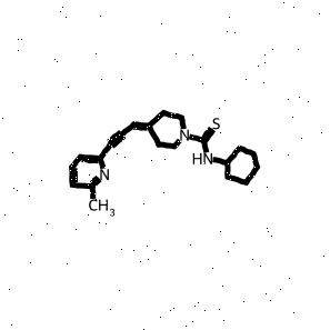 Cc1cccc(C#CC=C2CCN(C(=S)NC3CCCCC3)CC2)n1